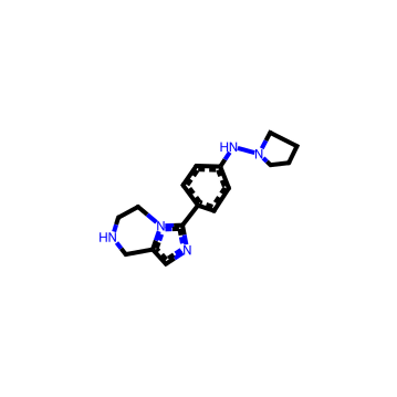 c1cc(-c2ncc3n2CCNC3)ccc1NN1CCCC1